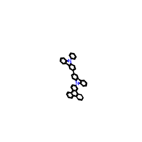 C1=Cc2c(c3cc(-n4c5ccccc5c5cc(-c6ccc7c(c6)c6ccccc6n7-c6ccccc6)ccc54)ccc3c3ccccc23)CC1